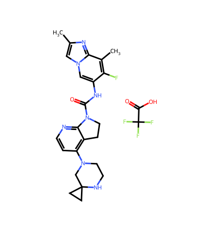 Cc1cn2cc(NC(=O)N3CCc4c(N5CCNC6(CC6)C5)ccnc43)c(F)c(C)c2n1.O=C(O)C(F)(F)F